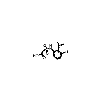 CN(C)c1c(Cl)cccc1NS(=O)(=O)CC(=O)O